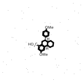 COc1ccc([C@@H]2Cc3c(C(=O)O)cc(OC)cc3[C@@H]3CCCC[C@H]23)cc1